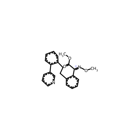 CO/N=C(/C(=O)OC)c1ccccc1CCc1ccccc1-c1cccnc1